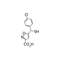 O=C(O)c1cc(C(S)c2ccc(Cl)cc2)on1